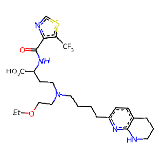 CCOCCN(CCCCc1ccc2c(n1)NCCC2)CC[C@H](NC(=O)c1ncsc1C(F)(F)F)C(=O)O